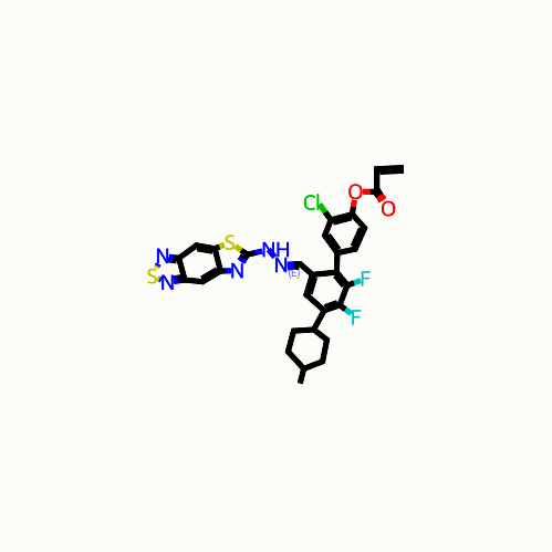 C=CC(=O)Oc1ccc(-c2c(/C=N/Nc3nc4cc5nsnc5cc4s3)cc(C3CCC(C)CC3)c(F)c2F)cc1Cl